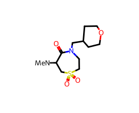 CNC1CS(=O)(=O)CCN(CC2CCOCC2)C1=O